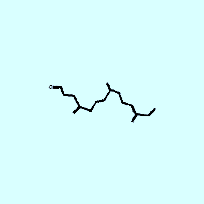 CCC(C)CCCC(C)CCCC(C)CCC=O